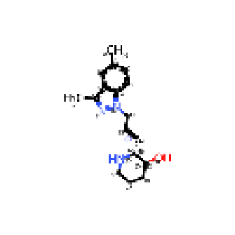 Cc1ccc2c(c1)c(C)nn2C/C=C/[C@H]1NCCC[C@@H]1O